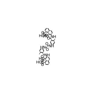 Cc1ccc(NC(=O)C(=O)Nc2ccc(C)c(C(=O)Nc3ccc4cccc(S(=O)(=O)O)c4c3O)c2)cc1C(=O)Nc1ccc2cccc(S(=O)(=O)O)c2c1O